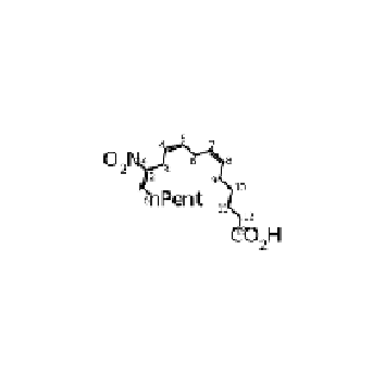 CCCCC/C=C(\C/C=C\C/C=C\CCCCC(=O)O)[N+](=O)[O-]